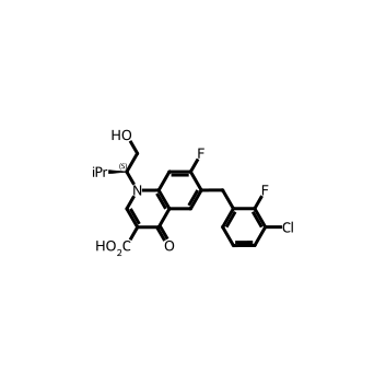 CC(C)[C@@H](CO)n1cc(C(=O)O)c(=O)c2cc(Cc3cccc(Cl)c3F)c(F)cc21